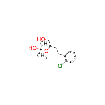 CC(C)(O)OC(CO)CCc1ccccc1Cl